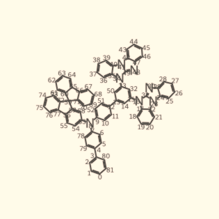 c1ccc(-c2ccc(N(c3ccc(-c4cc(-n5c6ccccc6n6c7ccccc7nc56)cc(-n5c6ccccc6n6c7ccccc7nc56)c4)cc3)c3ccc4c(c3)C3(c5ccccc5-c5ccccc53)c3ccccc3-4)cc2)cc1